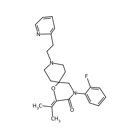 CC(C)=C1OC2(CCN(CCc3ccccn3)CC2)CN(c2ccccc2F)C1=O